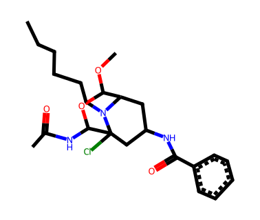 CCCCCCN1C2CC(NC(=O)c3ccccc3)CC1(Cl)C(NC(C)=O)OC2OC